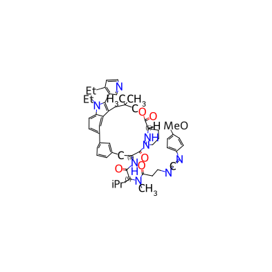 CCc1ccncc1-c1c2c3cc(ccc3n1CC)-c1cccc(c1)C[C@H](NC(=O)[C@H](C(C)C)N(C)C(=O)CCN=C=Nc1ccc(OC)cc1)C(=O)N1CCC[C@H](N1)C(=O)OCC(C)(C)C2